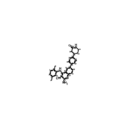 Cc1ccc(C)c(Nc2c(Cl)c(N)nc3ccc(-c4cnc(N5CCNC(=O)C5)nc4)cc23)c1